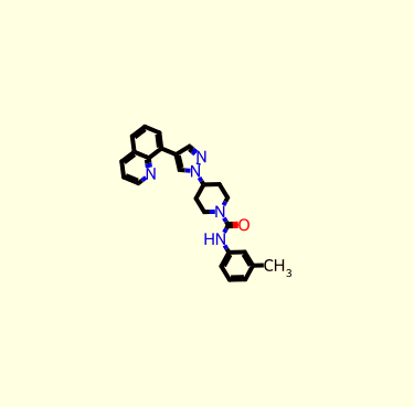 Cc1cccc(NC(=O)N2CCC(n3cc(-c4cccc5cccnc45)cn3)CC2)c1